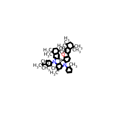 Cc1cc2c3c(c1)N(c1ccccc1C)c1ccc4c(oc5cc6c(cc54)C(C)(C)CCC6(C)C)c1B3c1cc3c(cc1N2c1ccc(C(C)(C)C)cc1C)C(C)(C)CCC3(C)C